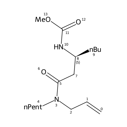 C=CCN(CCCCC)C(=O)C[C@H](CCCC)NC(=O)OC